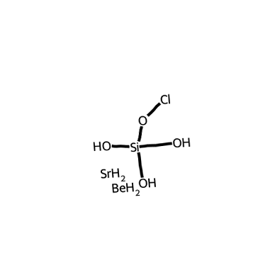 O[Si](O)(O)OCl.[BeH2].[SrH2]